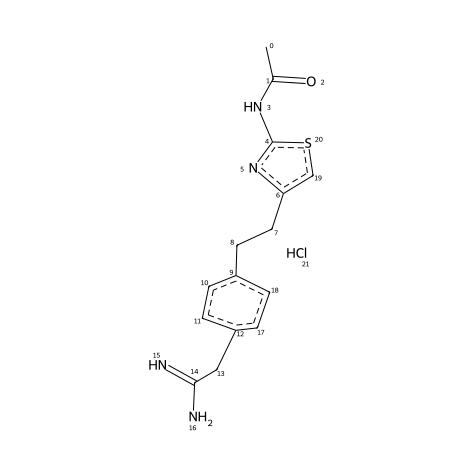 CC(=O)Nc1nc(CCc2ccc(CC(=N)N)cc2)cs1.Cl